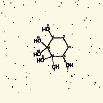 O[C]1CCC(O)C(O)(O)C1(O)O